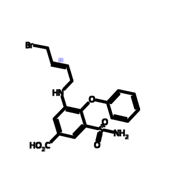 NS(=O)(=O)c1cc(C(=O)O)cc(NC/C=C/CBr)c1Oc1ccccc1